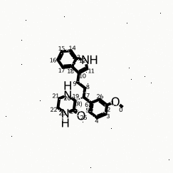 COc1cccc(C(CCc2c[nH]c3ccccc23)[C@H]2NCCNC2=O)c1